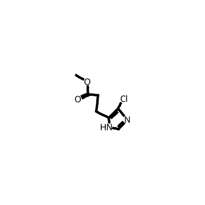 COC(=O)CCc1[nH]cnc1Cl